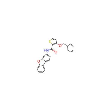 O=C(Nc1ccc2c(c1)oc1ccccc12)c1sccc1OCc1ccccc1